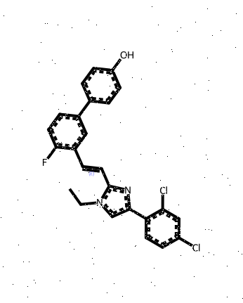 CCn1cc(-c2ccc(Cl)cc2Cl)nc1/C=C/c1cc(-c2ccc(O)cc2)ccc1F